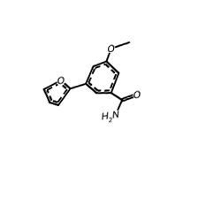 COc1cc(C(N)=O)cc(-c2ccco2)c1